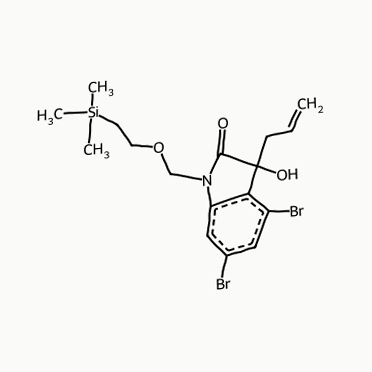 C=CCC1(O)C(=O)N(COCC[Si](C)(C)C)c2cc(Br)cc(Br)c21